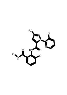 CC(C)NC(=O)c1cccc(Cl)c1NC(=O)c1cc(C(F)(F)F)nn1-c1ncccc1Cl